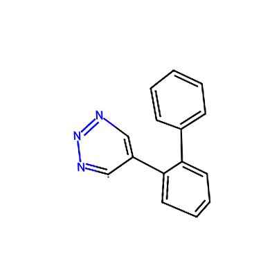 [c]1nnncc1-c1ccccc1-c1ccccc1